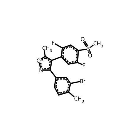 Cc1ccc(-c2noc(C)c2-c2cc(F)c(S(C)(=O)=O)cc2F)cc1Br